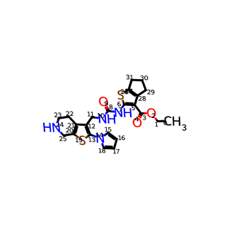 CCOC(=O)c1c(NC(=O)NCc2c(-n3cccc3)sc3c2CCNC3)sc2c1CCC2